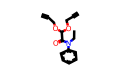 C#CCOC(OCC#C)C(=O)N(CC)c1ccccc1